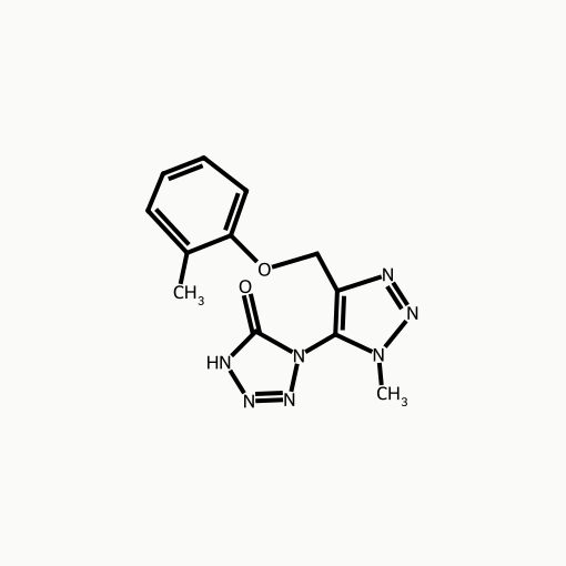 Cc1ccccc1OCc1nnn(C)c1-n1nn[nH]c1=O